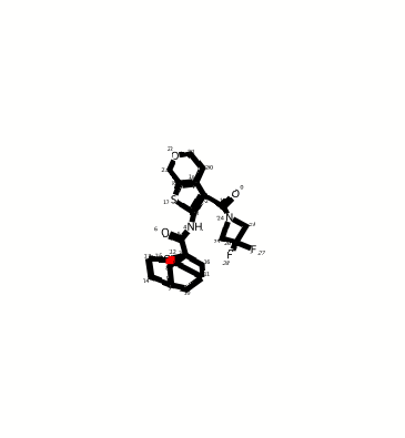 O=C(c1c(NC(=O)C23CC4CC(CC(C4)O2)C3)sc2c1CCOC2)N1CC(F)(F)C1